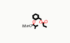 C=C(C)C(=O)OC.C=CC(=O)OCc1ccccc1